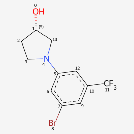 O[C@H]1CCN(c2cc(Br)cc(C(F)(F)F)c2)C1